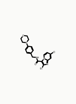 CCc1nc2cc(Cl)ccn2c1C(=O)NCc1ccc(N2CCOCC2)cc1